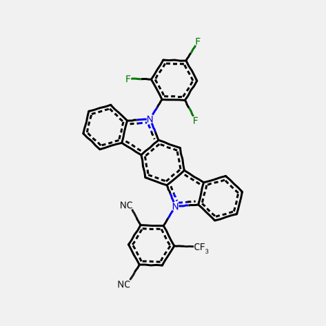 N#Cc1cc(C#N)c(-n2c3ccccc3c3cc4c(cc32)c2ccccc2n4-c2c(F)cc(F)cc2F)c(C(F)(F)F)c1